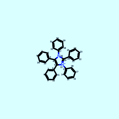 c1ccc(-c2c(-c3ccccc3)[n+](-c3ccccc3)c(-c3ccccc3)n2-c2ccccc2)cc1